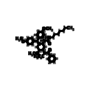 CCCCCCCNC(=O)NC1CC(N(C)C(=O)c2ccccc2)C(N(C)C)CN1C(c1ccc(OC)cc1)c1ccc(OC)cc1